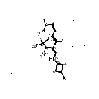 CC(=C\C=C/C(C)C)/C(=C/NC1CC(C)C1)C(N)C(F)(F)F